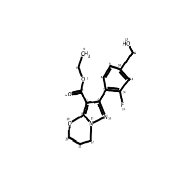 CCOC(=O)c1c(-c2ccc(CO)cc2F)nn2c1OCCC2